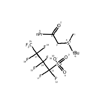 CCCC(=O)C[S+](C)C(C)(C)C.O=S(=O)([O-])C(F)(F)C(F)(F)C(F)(F)C(F)(F)F